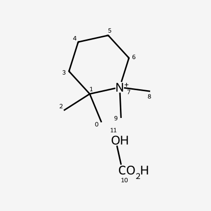 CC1(C)CCCC[N+]1(C)C.O=C(O)O